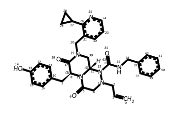 C=CCN1CC(=O)N2[C@@H](Cc3ccc(O)cc3)C(=O)N(Cc3cccnc3C3CC3)C[C@@H]2N1C(=O)NCc1ccccc1